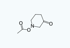 CC(=O)ON1CCCC(=O)C1